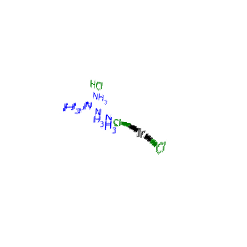 Cl.N.N.N.N.[Cl][Ir][Cl]